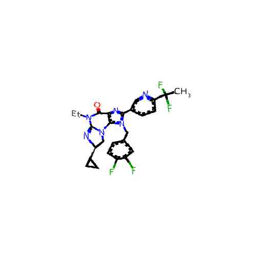 CCN1C(=O)c2nc(-c3ccc(C(C)(F)F)nc3)n(Cc3ccc(F)c(F)c3)c2N2C[C@@H](C3CC3)N=C12